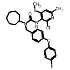 CSc1cc(C)nc(Cl)c1NC(=O)N(Cc1ccc(Oc2ccc(F)cc2)cc1)C1CCCCCC1